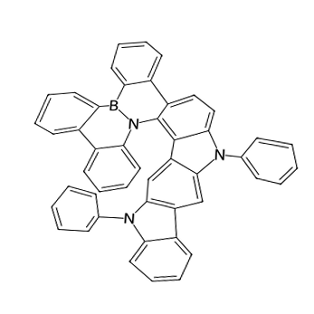 c1ccc(-n2c3ccccc3c3cc4c(cc32)c2c3c(ccc2n4-c2ccccc2)-c2ccccc2B2c4ccccc4-c4ccccc4N23)cc1